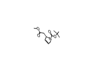 COC(=O)CC1C=CCN1C(=O)OC(C)(C)C